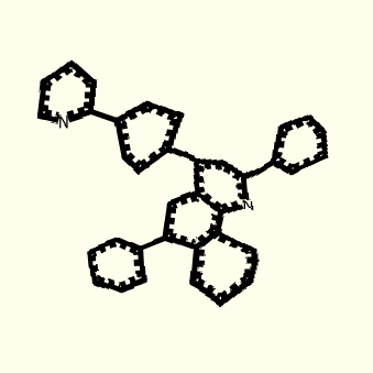 c1ccc(-c2cc(-c3ccc(-c4ccccn4)cc3)c3cc(-c4ccccc4)c4ccccc4c3n2)cc1